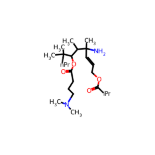 CCCC(C)(C)C(OC(=O)CCCN(C)C)C(C)C(C)(N)/C=C/COC(=O)C(C)C